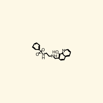 O=S(=O)(NCCNCc1ccc2cccnc2c1O)c1ccccc1